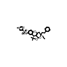 CCC[C@@]1(CCc2ccccc2)CC(O)=C([C@H](c2cccc(NS(=O)(=O)c3cn(C)cn3)c2)C(C)(C)C)C(=O)O1